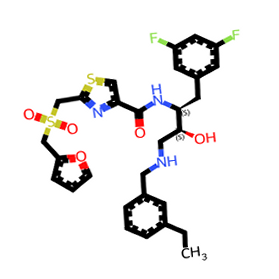 CCc1cccc(CNC[C@H](O)[C@H](Cc2cc(F)cc(F)c2)NC(=O)c2csc(CS(=O)(=O)Cc3ccco3)n2)c1